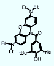 CCN(CC)c1ccc2c(c1)Oc1cc(N(CC)CC)ccc1N2C(=O)c1cc(C(C)(C)C)c(O)c(C(C)(C)C)c1